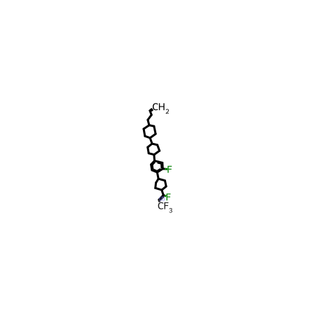 C=CCCC1CCC(C2CCC(c3ccc(C4CCC(/C(F)=C/C(F)(F)F)CC4)c(F)c3)CC2)CC1